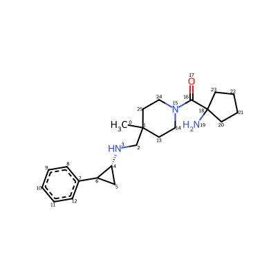 CC1(CN[C@@H]2CC2c2ccccc2)CCN(C(=O)C2(N)CCCC2)CC1